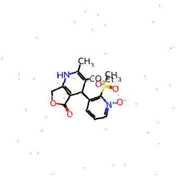 CCOC(=O)C1=C(C)NC2=C(C(=O)OC2)C1c1ccc[n+]([O-])c1S(C)(=O)=O